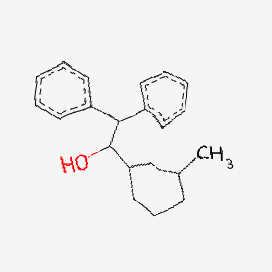 CC1CCCC(C(O)C(c2ccccc2)c2ccccc2)C1